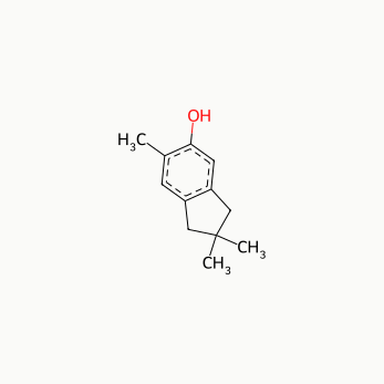 Cc1cc2c(cc1O)CC(C)(C)C2